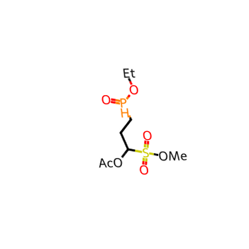 CCO[PH](=O)CCC(OC(C)=O)S(=O)(=O)OC